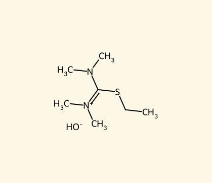 CCSC(N(C)C)=[N+](C)C.[OH-]